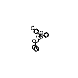 COc1ccc(S(=O)(=O)N(CCCC(=O)C2C3CC4CC(C3)CC2C4)c2ccccc2)cc1